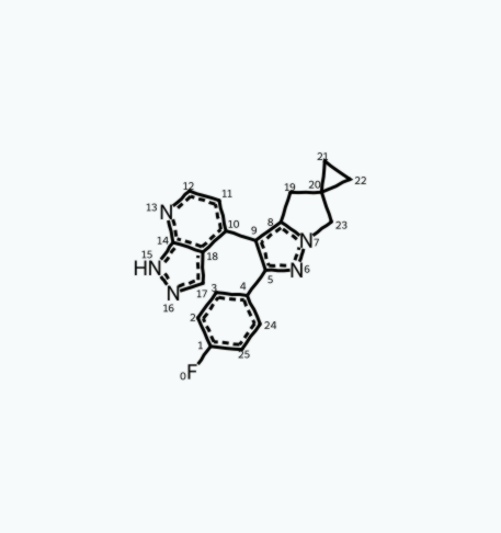 Fc1ccc(-c2nn3c(c2-c2ccnc4[nH]ncc24)CC2(CC2)C3)cc1